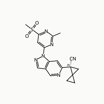 Cc1nc(-n2ncc3cnc([C@@]4(C#N)CC45CC5)cc32)cc(S(C)(=O)=O)n1